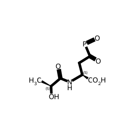 C[C@H](O)C(=O)N[C@@H](CC(=O)P=O)C(=O)O